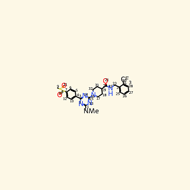 CNc1nc(-c2ccc(S(C)(=O)=O)cc2)nc(N2CCC(C(=O)NCc3ccccc3C(F)(F)F)CC2)n1